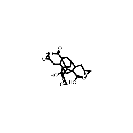 O=C(O)C12CC3CC(C(=O)O)(C1CC1CO1)C(CC1CO1)C(C(=O)O)(C2)C3CC1CO1